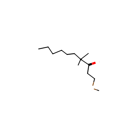 CCCCCCC(C)(C)C(=O)CCSC